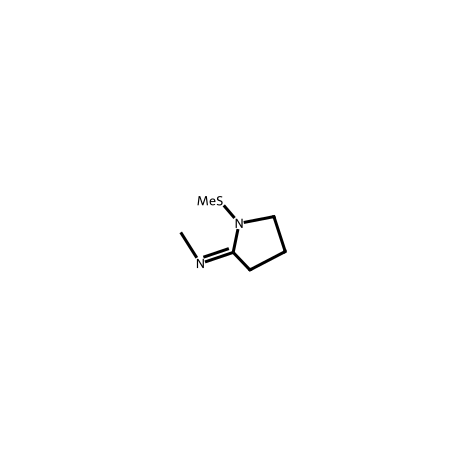 C/N=C1/CCCN1SC